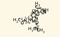 C=CC(=O)N1CCN(c2nc(OCCN(C)C)nc3c(Oc4c(Cl)c(C)cc5[nH]ncc45)nccc23)CC1